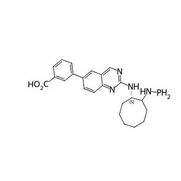 O=C(O)c1cccc(-c2ccc3nc(N[C@H]4CCCCCCC4NP)ncc3c2)c1